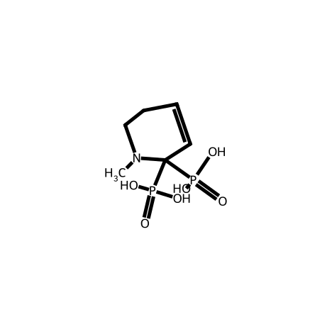 CN1CCC=CC1(P(=O)(O)O)P(=O)(O)O